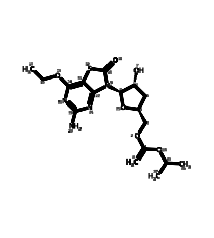 C=C(OC[C@@H]1C[C@@H](O)[C@H](n2c(=O)sc3c(OCC)nc(N)nc32)O1)OC(C)C